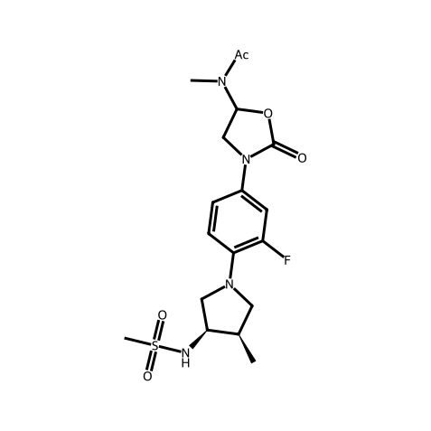 CC(=O)N(C)C1CN(c2ccc(N3C[C@@H](C)[C@@H](NS(C)(=O)=O)C3)c(F)c2)C(=O)O1